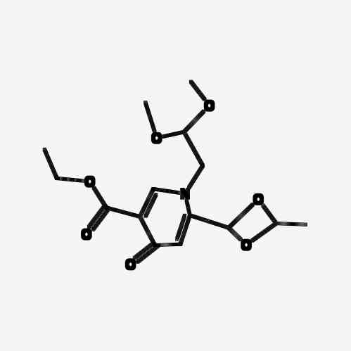 CCOC(=O)c1cn(CC(OC)OC)c(C2OC(C)O2)cc1=O